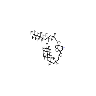 O=C(/C=C\C(=O)OCCC(F)(F)CC(F)(F)CC(F)(F)C(F)(F)C(F)(F)C(F)(F)F)OCCC(F)(F)CC(F)(F)CC(F)(F)C(F)(F)C(F)(F)C(F)(F)F